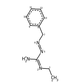 CC/N=C(N)\N=N\Cc1ccccc1